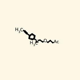 CC#Cc1ccc(N(C)CCOCCCC(C)=O)cc1